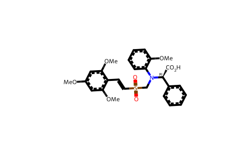 COc1cc(OC)c(C=CS(=O)(=O)CN(c2ccccc2OC)[C@@H](C(=O)O)c2ccccc2)c(OC)c1